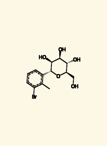 Cc1c(Br)cccc1[C@H]1O[C@H](CO)[C@@H](O)[C@H](O)[C@@H]1O